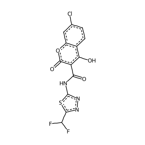 O=C(Nc1nnc(C(F)F)s1)c1c(O)c2ccc(Cl)cc2oc1=O